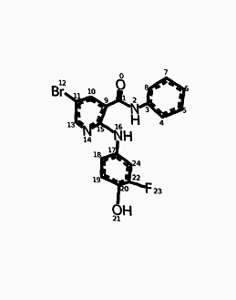 O=C(Nc1ccccc1)c1cc(Br)cnc1Nc1ccc(O)c(F)c1